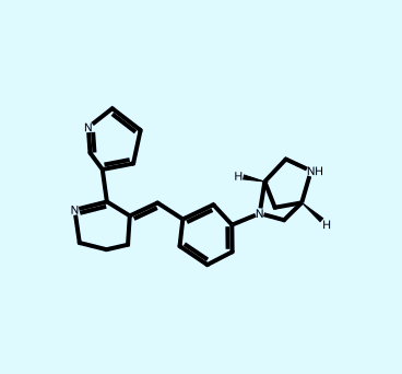 C(=C1/CCCN=C1c1cccnc1)/c1cccc(N2C[C@@H]3C[C@H]2CN3)c1